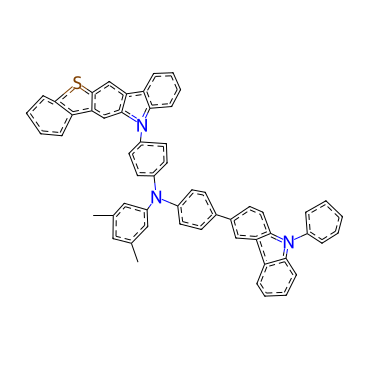 Cc1cc(C)cc(N(c2ccc(-c3ccc4c(c3)c3ccccc3n4-c3ccccc3)cc2)c2ccc(-n3c4ccccc4c4cc5sc6ccccc6c5cc43)cc2)c1